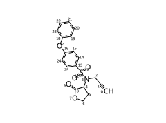 C#CCN(C1CCOC1=O)S(=O)(=O)c1ccc(Oc2ccccc2)cc1